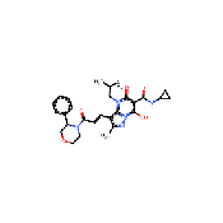 Cc1nn2c(O)c(C(=O)NC3CC3)c(=O)n(CC(C)C)c2c1C=CC(=O)N1CCOCC1c1ccccc1